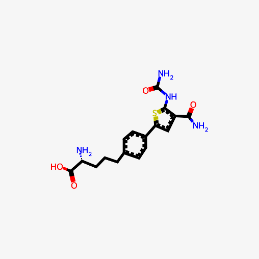 NC(=O)Nc1sc(-c2ccc(CCC[C@@H](N)C(=O)O)cc2)cc1C(N)=O